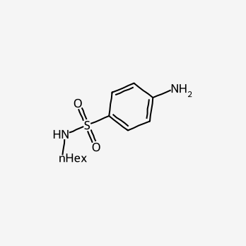 CCCCCCNS(=O)(=O)c1ccc(N)cc1